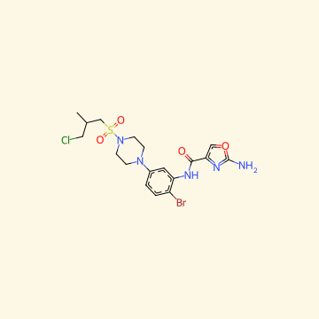 CC(CCl)CS(=O)(=O)N1CCN(c2ccc(Br)c(NC(=O)c3coc(N)n3)c2)CC1